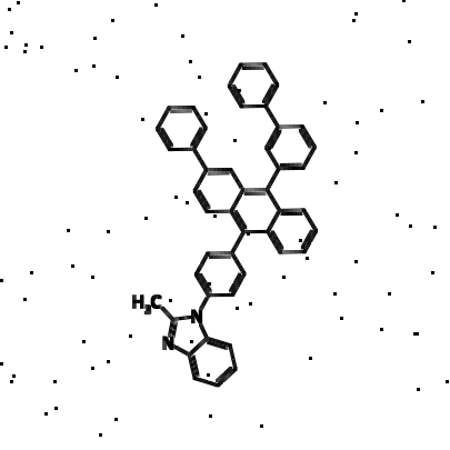 Cc1nc2ccccc2n1-c1ccc(-c2c3ccccc3c(-c3cccc(-c4ccccc4)c3)c3cc(-c4ccccc4)ccc23)cc1